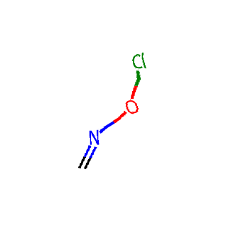 C=NOCl